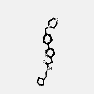 O=C(Cc1ccc(-c2ccc(CN3CCOCC3)cc2)cn1)NCCC1CCCC1